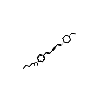 CCCCOc1ccc(C=CC#CC=C[C@H]2CC[C@H](CC)CC2)cc1